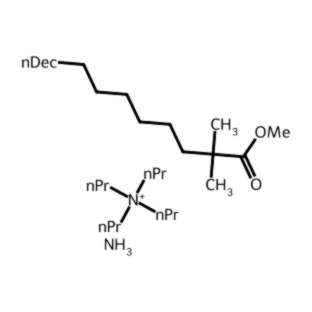 CCCCCCCCCCCCCCCCC(C)(C)C(=O)OC.CCC[N+](CCC)(CCC)CCC.N